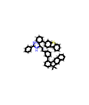 CC1(C)c2cc3ccccc3cc2-c2c(-c3cccc(/C=C/C(NC(N)c4ccccc4)c4ccccc4-c4ccc5c(c4)sc4ccccc45)c3)cccc21